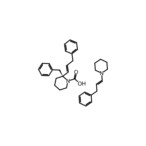 C(=CN1CCCCC1)Cc1ccccc1.O=C(O)N1CCCC[C@@]1(/C=C/Cc1ccccc1)Cc1ccccc1